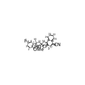 COc1ccc(F)cc1C(C)(C)CC(O)(Cc1ccc(C#N)c2ccccc12)C(F)(F)F